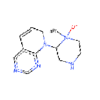 CCC[N+]1([O-])CCNCC1N1CC=Cc2cncnc21